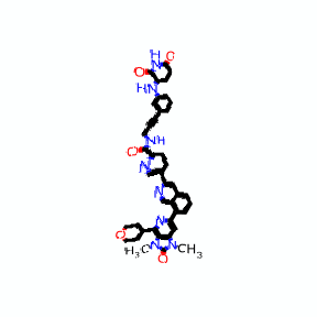 Cn1c(=O)n(C)c2c(C3CCOCC3)nc(-c3cccc4cc(-c5ccc(C(=O)NCC#Cc6cccc(NC7CCC(=O)NC7=O)c6)nc5)ncc34)cc21